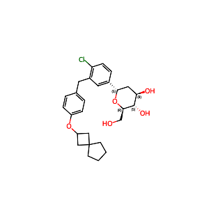 OC[C@H]1O[C@H](c2ccc(Cl)c(Cc3ccc(OC4CC5(CCCC5)C4)cc3)c2)C[C@@H](O)[C@@H]1O